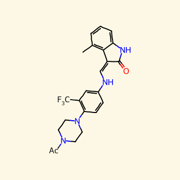 CC(=O)N1CCN(c2ccc(NC=C3C(=O)Nc4cccc(C)c43)cc2C(F)(F)F)CC1